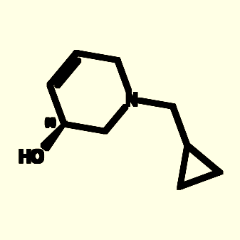 O[C@H]1C=CCN(CC2CC2)C1